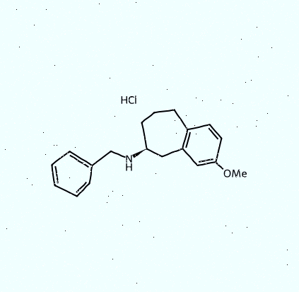 COc1ccc2c(c1)C[C@@H](NCc1ccccc1)CCC2.Cl